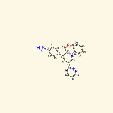 Nc1ccc(C2=CC(c3ccccn3)=CN(c3ccccc3)C2C=O)cc1